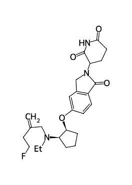 C=C(CCF)CN(CC)[C@@H]1CCC[C@@H]1Oc1ccc2c(c1)CN(C1CCC(=O)NC1=O)C2=O